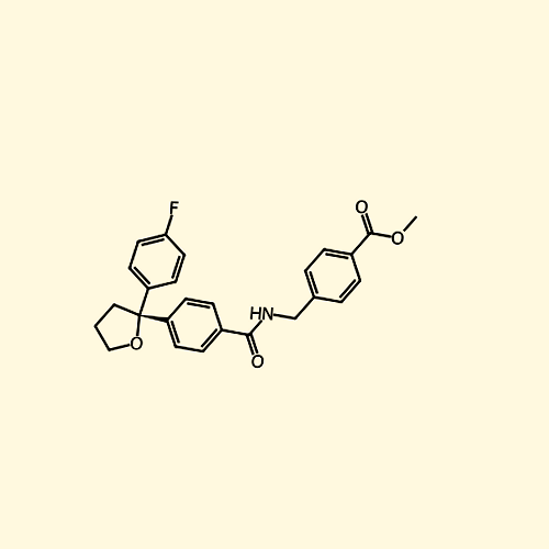 COC(=O)c1ccc(CNC(=O)c2ccc([C@]3(c4ccc(F)cc4)CCCO3)cc2)cc1